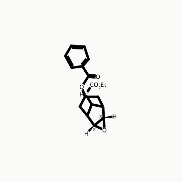 CCOC(=O)NC1C2CC(OC(=O)c3ccccc3)CC1[C@@H]1O[C@H]21